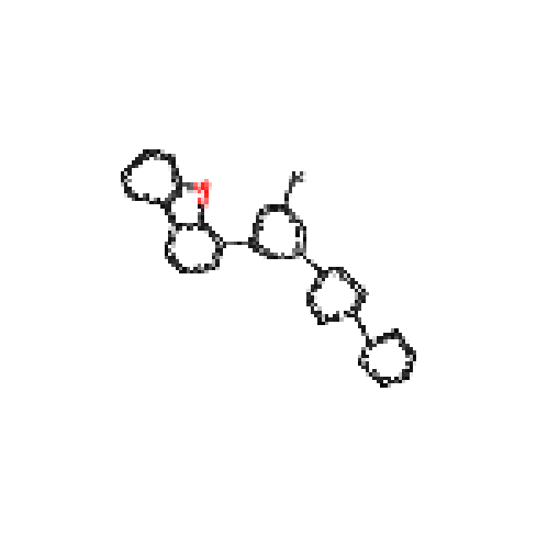 CC(=O)c1cc(-c2ccc(-c3ccccc3)cc2)cc(-c2cccc3c2oc2ccccc23)c1